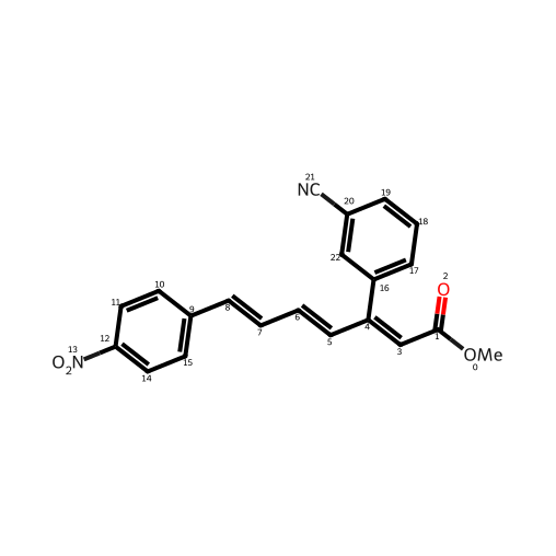 COC(=O)/C=C(/C=C/C=C/c1ccc([N+](=O)[O-])cc1)c1cccc(C#N)c1